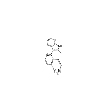 Cc1ccnc(-c2c(C)[nH]c3ncccc23)c1/C=C\N